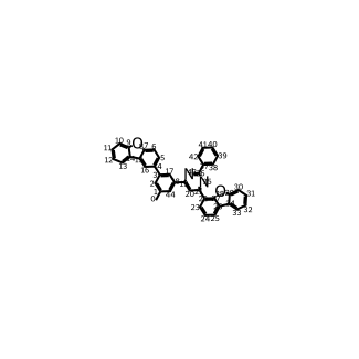 Cc1cc(-c2ccc3oc4ccccc4c3c2)cc(-c2cc(-c3cccc4c3oc3ccccc34)nc(-c3ccccc3)n2)c1